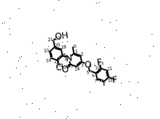 Cc1cc(OCc2ccc(F)cc2F)cc(=O)n1-c1cc(CO)ccc1Cl